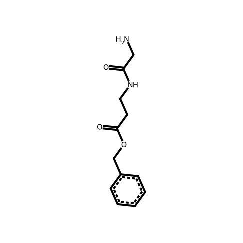 NCC(=O)NCCC(=O)OCc1ccccc1